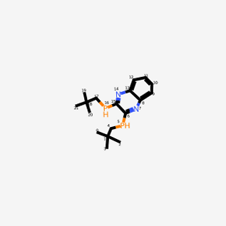 CC(C)(C)CPc1nc2ccccc2nc1PCC(C)(C)C